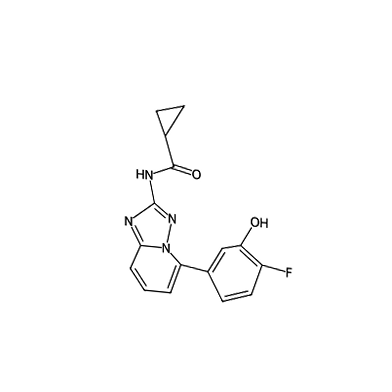 O=C(Nc1nc2cccc(-c3ccc(F)c(O)c3)n2n1)C1CC1